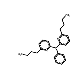 CCCCc1cccc(P(c2ccccc2)c2cccc(CCCC)n2)n1